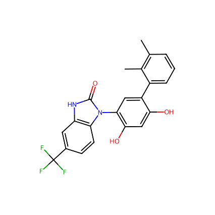 Cc1cccc(-c2cc(-n3c(=O)[nH]c4cc(C(F)(F)F)ccc43)c(O)cc2O)c1C